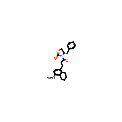 COc1ccc(CCC(=O)N2C(=O)OC[C@@H]2Cc2ccccc2)c2c1CCCC2